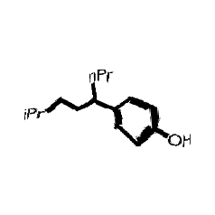 CCCC(CCC(C)C)c1ccc(O)cc1